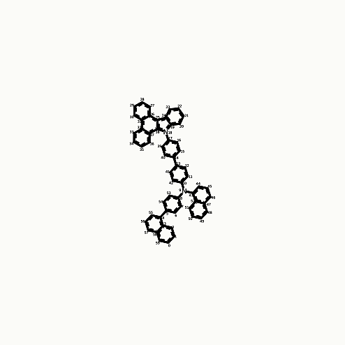 c1ccc2c(-c3ccc(N(c4ccc(-c5ccc(-n6c7ccccc7c7c8ccccc8c8ccccc8c76)cc5)cc4)c4cccc5ccccc45)cc3)cccc2c1